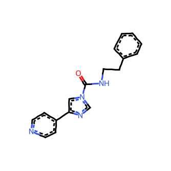 O=C(NCCc1ccccc1)n1cnc(-c2ccncc2)c1